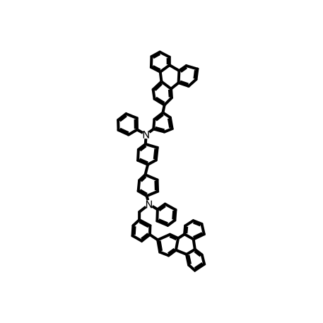 c1ccc(N(Cc2cccc(-c3ccc4c5ccccc5c5ccccc5c4c3)c2)c2ccc(-c3ccc(N(c4ccccc4)c4cccc(-c5ccc6c7ccccc7c7ccccc7c6c5)c4)cc3)cc2)cc1